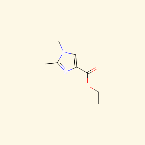 CCOC(=O)c1cn(C)c(C)n1